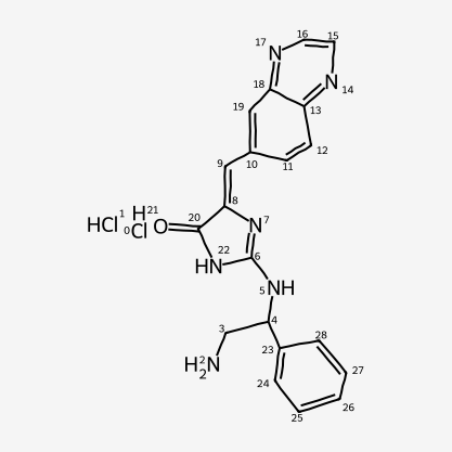 Cl.Cl.NCC(NC1=N/C(=C\c2ccc3nccnc3c2)C(=O)N1)c1ccccc1